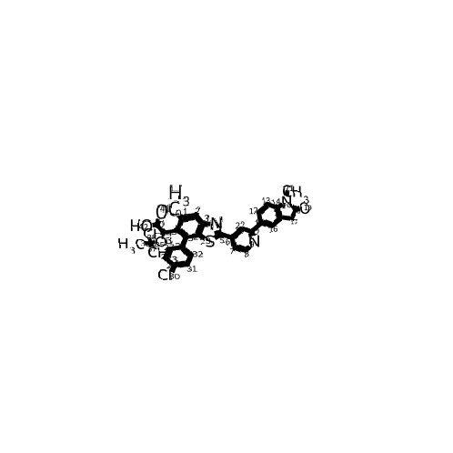 Cc1cc2nc(-c3ccnc(-c4ccc5c(c4)CC(=O)N5C)c3)sc2c(-c2ccc(Cl)cc2)c1[C@H](OC(C)(C)C)C(=O)O